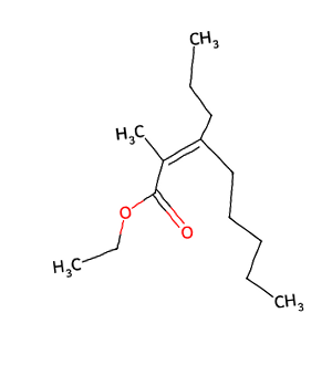 CCCCCC(CCC)=C(C)C(=O)OCC